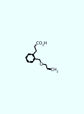 C=CCOCc1ccccc1CCC(=O)O